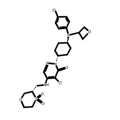 O=c1c(Cl)c(NC[C@H]2COCCS2(=O)=O)cnn1[C@H]1CC[C@H](N(c2ccc(Cl)cc2)C2COC2)CC1